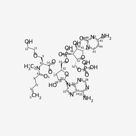 C=CCCC(=O)N(C)[C@@H](COCCO)C(=O)O[C@H]1[C@@H](O)[C@H](n2cnc3c(N)ncnc32)O[C@@H]1COP(=O)(O)[C@H]1[C@@H](O)[C@H](n2ccc(N)nc2=O)O[C@@H]1COP(=O)(O)O